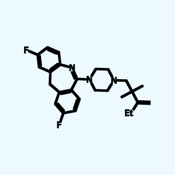 C=C(CC)C(C)(C)CN1CCN(C2=Nc3ccc(F)cc3Cc3cc(F)ccc32)CC1